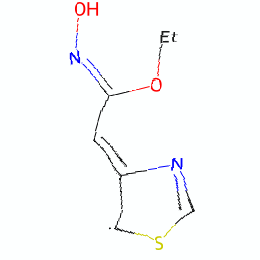 CCOC(C=C1[CH]SC=N1)=NO